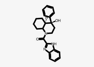 O=C(c1nc2ccccc2[nH]1)N1CC[C@@](O)(c2ccccc2)[C@@H]2CCCCC21